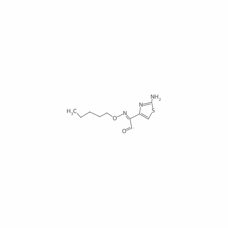 CCCCCO/N=C(\[C]=O)c1csc(N)n1